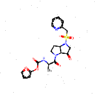 CCCC(NC(=O)Oc1ccco1)C(=O)N1CCC2C1C(=O)CN2S(=O)(=O)Cc1ccccn1